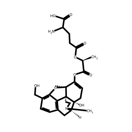 C[C@H](OC(=O)CCC(N)C(=O)O)C(=O)OC1=CC[C@@]2(O)[C@H]3Cc4ccc(CO)c5c4[C@@]2(CCN3C)[C@H]1O5